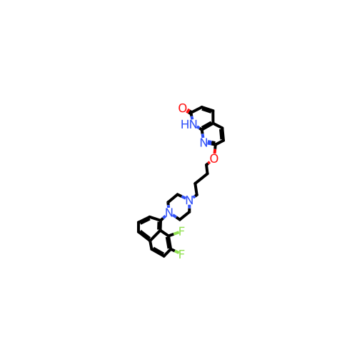 O=c1ccc2ccc(OCCCCN3CCN(c4cccc5ccc(F)c(F)c45)CC3)nc2[nH]1